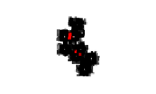 c1ccc(-c2cccc(-c3ccc(-n4c5ccccc5c5ccccc54)cc3)c2N(c2ccccc2)c2ccc3c(c2)oc2ccncc23)cc1